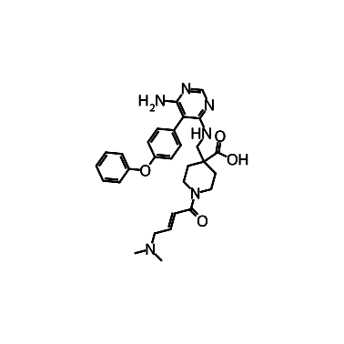 CN(C)CC=CC(=O)N1CCC(CNc2ncnc(N)c2-c2ccc(Oc3ccccc3)cc2)(C(=O)O)CC1